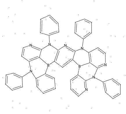 c1ccc(N2c3ccccc3B3c4cc5c(nc4N(c4ccccc4)c4nccc2c43)N(c2ccccc2)c2ccnc3c2B5c2cccnc2N3c2ccccc2)cc1